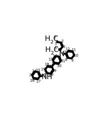 C=C/C=C\C(=C)N(C1=CCCC=C1)c1ccc(C2=CCC(Nc3ccccc3)C=C2)cc1